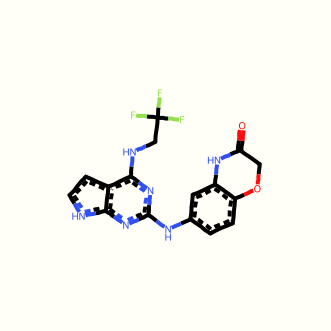 O=C1COc2ccc(Nc3nc(NCC(F)(F)F)c4cc[nH]c4n3)cc2N1